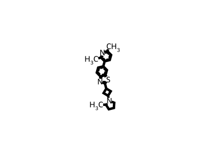 Cc1ccc(-c2ccc3nc(C4CC(N5CCCC5C)C4)sc3c2)c(C)n1